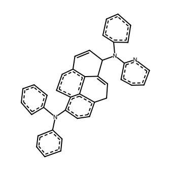 C1=CC(N(c2ccccc2)c2ccccn2)C2=CCc3ccc(N(c4ccccc4)c4ccccc4)c4ccc1c2c34